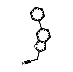 N#CCc1cc2ccc(-c3ccccc3)cc2s1